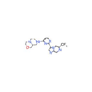 FC(F)(F)c1cn2c(-c3nccc(N4CCN5CCOCC5C4)n3)cnc2cn1